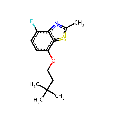 Cc1nc2c(F)ccc(OCCC(C)(C)C)c2s1